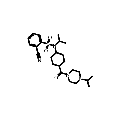 CC(C)N1CCN(C(=O)C2CCC(N(C(C)C)S(=O)(=O)c3ccccc3C#N)CC2)CC1